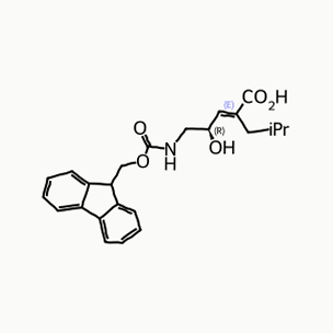 CC(C)C/C(=C\[C@@H](O)CNC(=O)OCC1c2ccccc2-c2ccccc21)C(=O)O